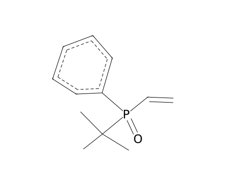 C=CP(=O)(c1ccccc1)C(C)(C)C